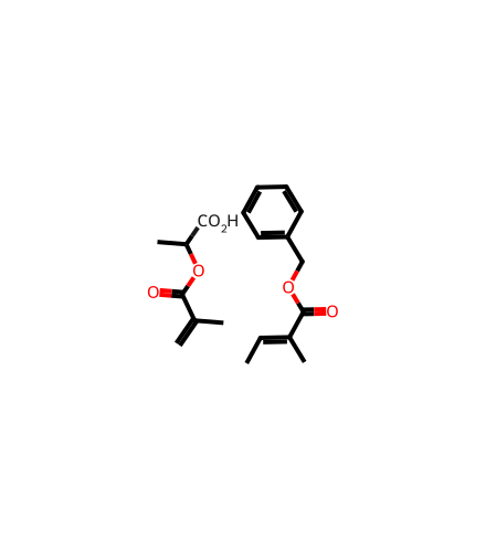 C=C(C)C(=O)OC(C)C(=O)O.CC=C(C)C(=O)OCc1ccccc1